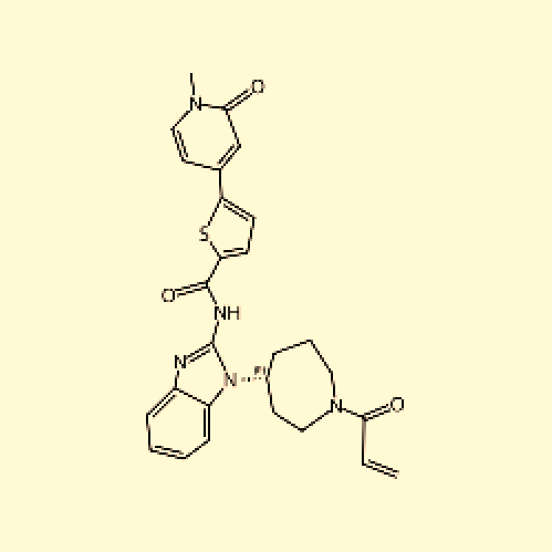 C=CC(=O)N1CCC[C@@H](n2c(NC(=O)c3ccc(-c4ccn(C)c(=O)c4)s3)nc3ccccc32)CC1